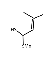 CSC(S)C=C(C)C